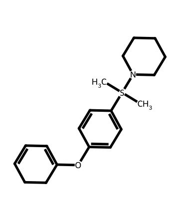 CS(C)(c1ccc(OC2=CC=CCC2)cc1)N1CCCCC1